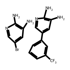 Nc1cc(-c2cccc(C(F)(F)F)c2)cnc1N.Nc1cc(Br)cnc1N